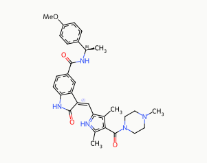 COc1ccc([C@@H](C)NC(=O)c2ccc3c(c2)/C(=C/c2[nH]c(C)c(C(=O)N4CCN(C)CC4)c2C)C(=O)N3)cc1